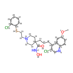 COc1ccc2ncc(Cl)c(CCCC3(C(=O)NO)CCN(CCSc4ccccc4Cl)CC3)c2c1